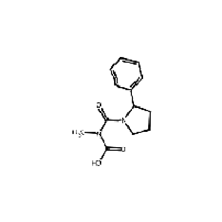 CN(C(=O)O)C(=O)N1CCCC1c1ccccc1